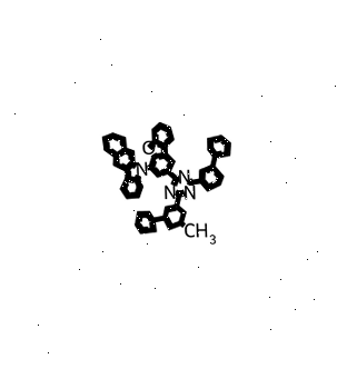 CC1C=C(c2ccccc2)C=C(c2nc(-c3cccc(-c4ccccc4)c3)nc(-c3cc(-n4c5ccccc5c5cc6ccccc6cc54)c4oc5ccccc5c4c3)n2)C1